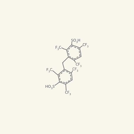 O=S(=O)(O)c1c(C(F)(F)F)cc(C(F)(F)F)c(Cc2c(C(F)(F)F)cc(C(F)(F)F)c(S(=O)(=O)O)c2C(F)(F)F)c1C(F)(F)F